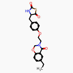 CCc1ccc2c(c1)C(=O)N(CCOc1ccc(CC3NC(=O)SC3=O)cc1)CO2